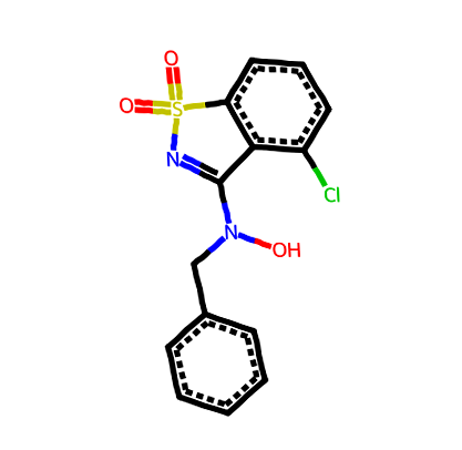 O=S1(=O)N=C(N(O)Cc2ccccc2)c2c(Cl)cccc21